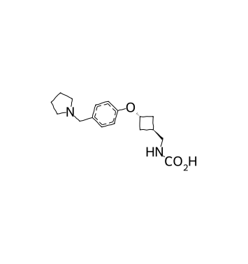 O=C(O)NC[C@H]1C[C@H](Oc2ccc(CN3CCCC3)cc2)C1